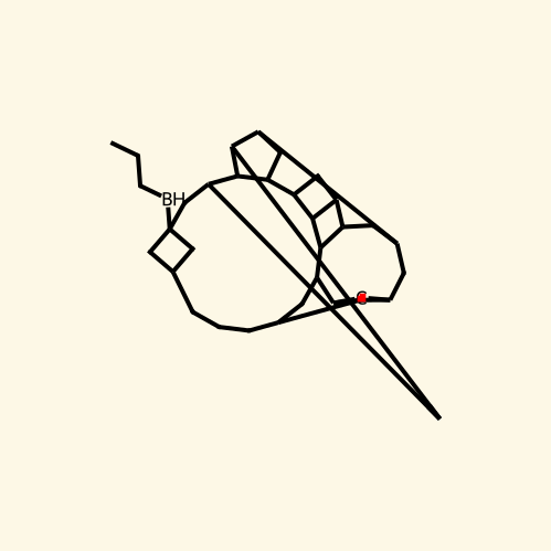 CCCBC12CC(CCCC3CC4C5CC(CC6CC7C8CC(C9CC6C6CC(C1)C69)C8C47)C35)C2